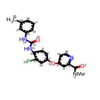 CNC(=O)c1cc(Oc2ccc(NC(=O)Nc3cccc(C)c3)c(F)c2)ccn1